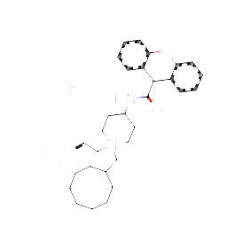 C=CC[N+]1(CC2CCCCCCC2)CCC(NC(=O)C2c3ccccc3Oc3ccccc32)CC1.[Br-]